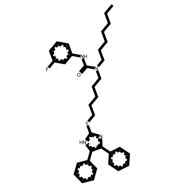 CCCCCCCN(CCCCCSc1nc(-c2ccccc2)c(-c2ccccc2)[nH]1)C(=O)Nc1cccc(F)c1